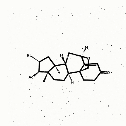 CC[C@@H]1C[C@H]2[C@@H]3C[C@H]4OC[C@@]5(CCC(=O)C=C45)[C@H]3CC[C@]2(C)[C@H]1C(C)=O